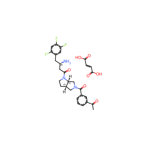 CC(=O)c1cccc(C(=O)N2C[C@@H]3CCN(C(=O)C[C@H](N)Cc4cc(F)c(F)cc4F)[C@@H]3C2)c1.O=C(O)C=CC(=O)O